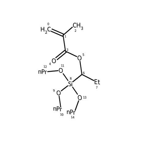 C=C(C)C(=O)OC(CC)[Si](OCCC)(OCCC)OCCC